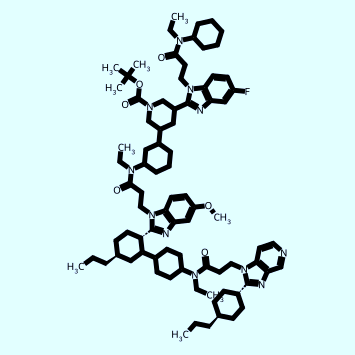 CCC[C@H]1CC[C@H](c2nc3cc(OC)ccc3n2CCC(=O)N(CC)C2CCCC(C3CC(c4nc5cc(F)ccc5n4CCC(=O)N(CC)C4CCCCC4)CN(C(=O)OC(C)(C)C)C3)C2)C(C2CCC(N(CC)C(=O)CCn3c4ccncc4nc3[C@H]3CC[C@H](CCC)CC3)CC2)C1